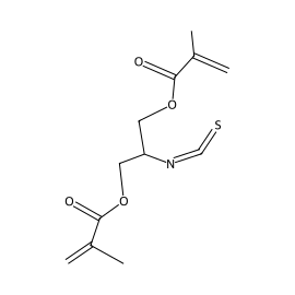 C=C(C)C(=O)OCC(COC(=O)C(=C)C)N=C=S